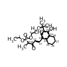 CCOP(=O)(OCC)C(C)C(=O)/C=C/c1cc(C(C)(C)C)c(O)c2c1CCCC2